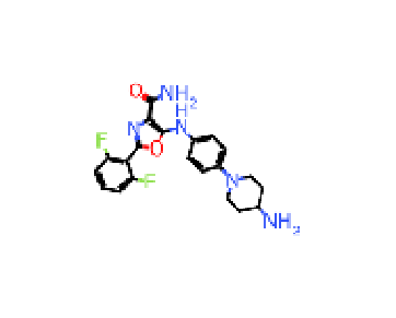 NC(=O)c1nc(-c2c(F)cccc2F)oc1Nc1ccc(N2CCC(N)CC2)cc1